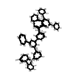 c1ccc(-c2cc(-c3cccc(-c4cc5ccccc5c5c(-c6ccccc6)cc(-c6ccccc6)nc45)c3)cc(-c3cccc(-n4c5ccccc5c5ccccc54)c3)n2)cc1